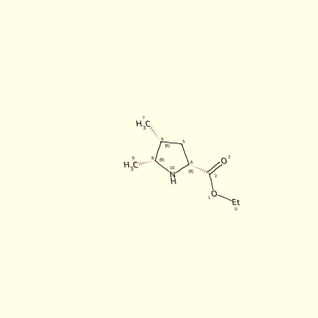 CCOC(=O)[C@H]1C[C@@H](C)[C@@H](C)N1